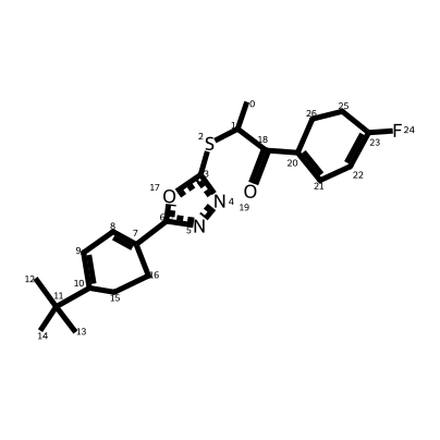 CC(Sc1nnc(C2=CC=C(C(C)(C)C)CC2)o1)C(=O)C1=CC=C(F)CC1